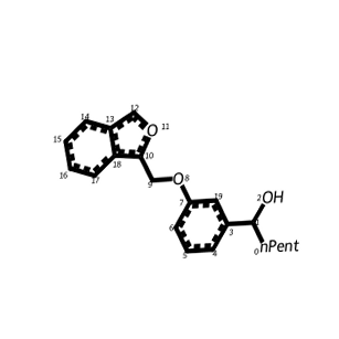 CCCCCC(O)c1cccc(OCc2occ3ccccc23)c1